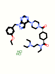 CCOc1cccc(Cn2ncc3c(N4CCN(C(=O)[C@H]5CC[C@H](C(=O)N(CC)CCN(CC)CC)CC5)CC4)ncnc32)c1.Cl.Cl